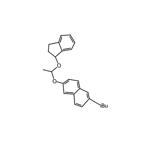 CCC(C)c1ccc2cc(OC(C)OC3CCc4ccccc43)ccc2c1